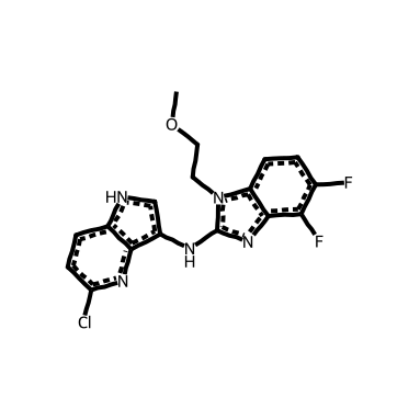 COCCn1c(Nc2c[nH]c3ccc(Cl)nc23)nc2c(F)c(F)ccc21